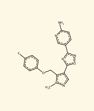 Cn1ncc(-c2nc(-c3ccc(N)nc3)no2)c1COc1ccc(F)cc1